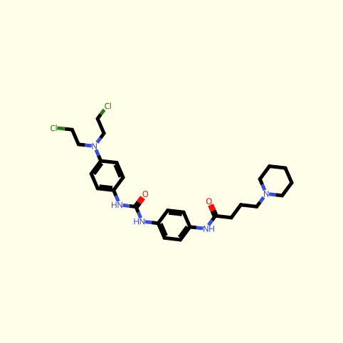 O=C(CCCN1CCCCC1)Nc1ccc(NC(=O)Nc2ccc(N(CCCl)CCCl)cc2)cc1